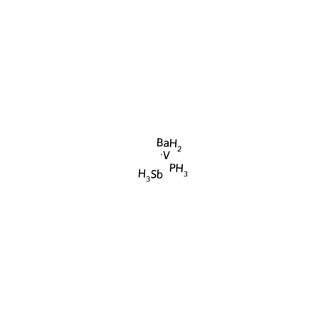 P.[BaH2].[SbH3].[V]